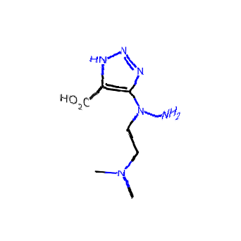 CN(C)CCN(N)c1nn[nH]c1C(=O)O